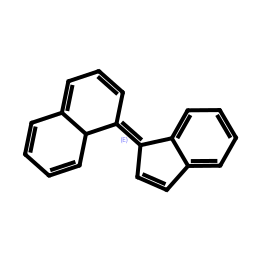 C1=CC2=CC=C/C(=C3/C=Cc4ccccc43)C2C=C1